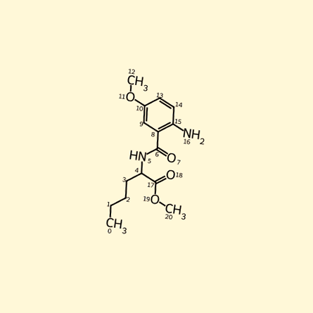 CCCCC(NC(=O)c1cc(OC)ccc1N)C(=O)OC